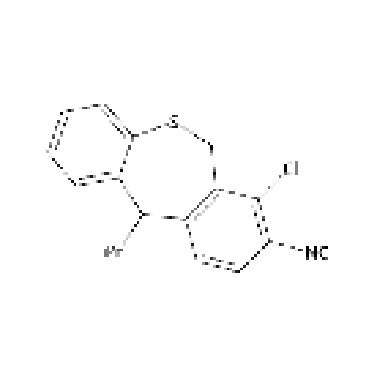 [C-]#[N+]c1ccc2c(c1Cl)CSc1ccccc1C2C(C)C